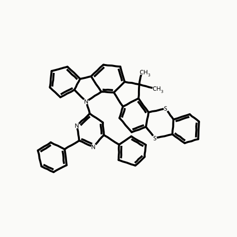 CC1(C)c2ccc3c4ccccc4n(-c4cc(-c5ccccc5)nc(-c5ccccc5)n4)c3c2-c2ccc3c(c21)Sc1ccccc1S3